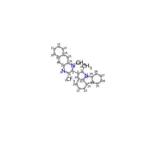 Cc1c(-c2c(C(F)(F)F)nc3cc4ccccc4cc3[n+]2C)c2cccc3c4ccccc4n1c23